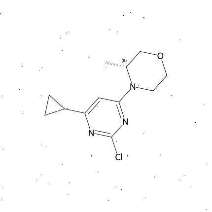 C[C@@H]1COCCN1c1cc([C]2CC2)nc(Cl)n1